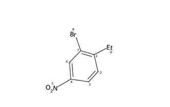 [CH2]Cc1ccc([N+](=O)[O-])cc1Br